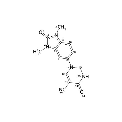 Cn1c(=O)n(C)c2cc(N3C=C(C#N)C(=O)NC3)ccc21